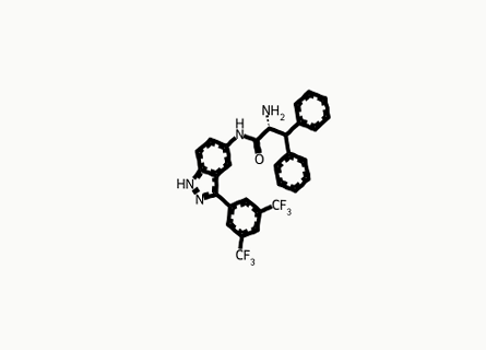 N[C@@H](C(=O)Nc1ccc2[nH]nc(-c3cc(C(F)(F)F)cc(C(F)(F)F)c3)c2c1)C(c1ccccc1)c1ccccc1